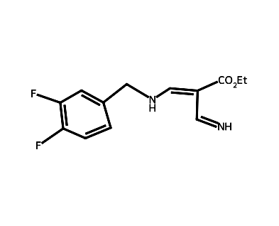 CCOC(=O)/C(C=N)=C/NCc1ccc(F)c(F)c1